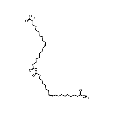 CC(=O)CCCCCCCC/C=C\CCCCCCCC(=O)OC(=O)CCCCCCC/C=C\CCCCCCCCC(C)=O